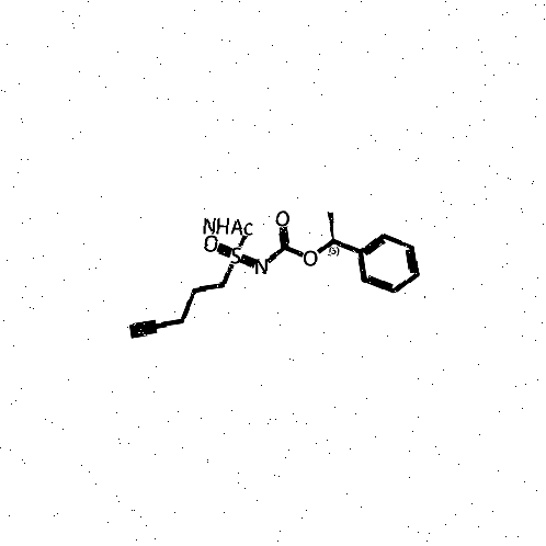 C#CCCCS(=O)(=NC(=O)O[C@@H](C)c1ccccc1)NC(C)=O